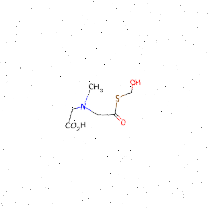 CN(CC(=O)O)CC(=O)SCO